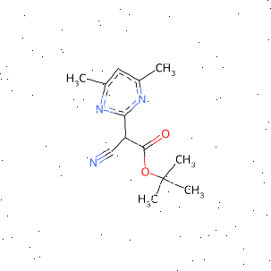 Cc1cc(C)nc(C(C#N)C(=O)OC(C)(C)C)n1